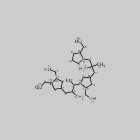 CCC(C(C)CC1C[C@H](CO)N(CC(C)(C)C)C1)N1CC(CC(C)(C)CN2CCCC2CO)C[C@H]1CO